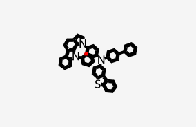 c1ccc(-c2ccc(N(c3ccc(-n4ccc5ccc6c7ccccc7n(-c7ccccc7)c6c54)cc3)c3ccc4sc5ccccc5c4c3)cc2)cc1